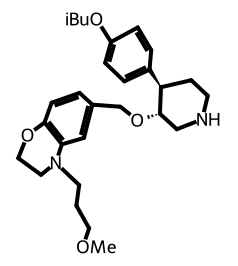 COCCCN1CCOc2ccc(CO[C@H]3CNCC[C@@H]3c3ccc(OCC(C)C)cc3)cc21